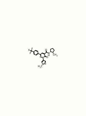 C[C@@H]1CCC[C@H]1NC(=O)c1cc(-c2ccc(C(F)(F)F)cc2)nn(-c2cnn(C)c2)c1=O